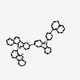 c1ccc2c(-c3ccc(-n4c5ccccc5c5cc(-c6ccc7c(c6)c6ccc8ccccc8c6n7-c6cccc7c6sc6ccccc67)ccc54)cc3)cccc2c1